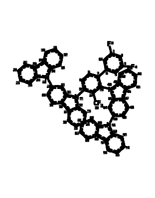 Fc1cc(F)cc(-c2ccc(-n3c4ccccc4c4ccc(-n5c6ccccc6c6ccccc65)cc43)c(C(F)(F)F)c2-n2c3ccccc3c3ccc(-n4c5ccccc5c5ccccc54)cc32)c1